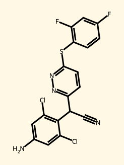 N#CC(c1ccc(Sc2ccc(F)cc2F)nn1)c1c(Cl)cc(N)cc1Cl